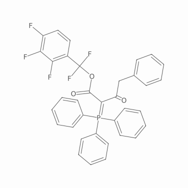 O=C(Cc1ccccc1)C(C(=O)OC(F)(F)c1ccc(F)c(F)c1F)=P(c1ccccc1)(c1ccccc1)c1ccccc1